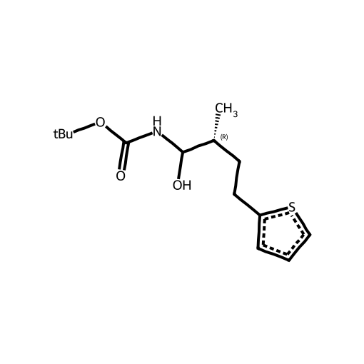 C[C@H](CCc1cccs1)C(O)NC(=O)OC(C)(C)C